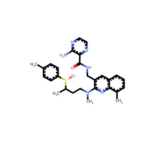 Cc1ccc([S+]([O-])C(C)CCN(C)c2nc3c(C)cccc3cc2CNC(=O)c2nccnc2N)cc1